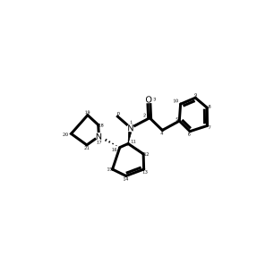 CN(C(=O)Cc1ccccc1)[C@H]1CC=CC[C@@H]1N1CCCC1